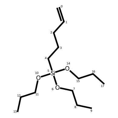 C=CCCC[Si](OCCC)(OCCC)OCCC